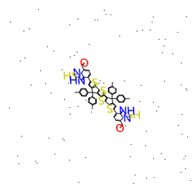 Cc1ccc(C2(c3ccc(C)cc3)c3cc(C4=CC=C(C=O)/C(=N/S)C4=N)sc3-c3sc4c5c(sc4c32)-c2sc(C3=CC=C(C=O)/C(=N/S)C3=N)cc2C5(c2ccc(C)cc2)c2ccc(C)cc2)cc1